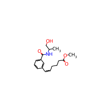 COC(=O)CCC/C=C\c1cccc(C(=O)NC(C)CO)c1